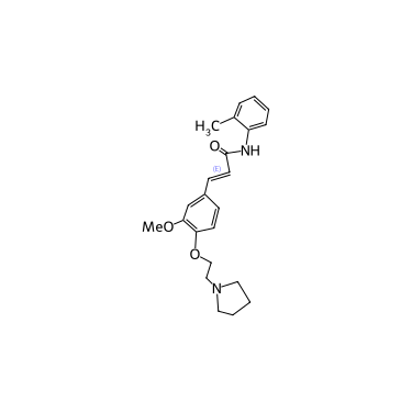 COc1cc(/C=C/C(=O)Nc2ccccc2C)ccc1OCCN1CCCC1